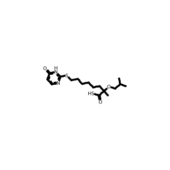 CC(C)COC(C)(CCCCCCSc1nccc(=O)[nH]1)C(=O)S